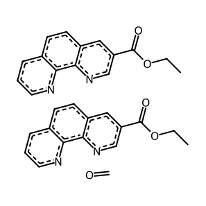 C=O.CCOC(=O)c1cnc2c(ccc3cccnc32)c1.CCOC(=O)c1cnc2c(ccc3cccnc32)c1